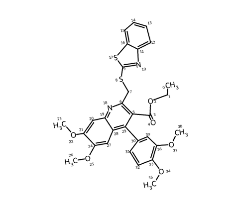 CCOC(=O)c1c(CSc2nc3ccccc3s2)nc2cc(OC)c(OC)cc2c1-c1ccc(OC)c(OC)c1